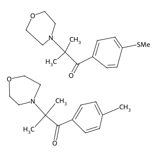 CSc1ccc(C(=O)C(C)(C)N2CCOCC2)cc1.Cc1ccc(C(=O)C(C)(C)N2CCOCC2)cc1